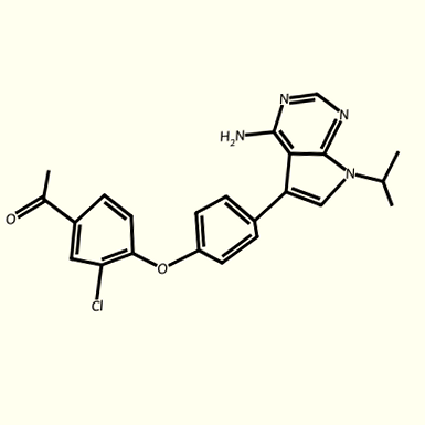 CC(=O)c1ccc(Oc2ccc(-c3cn(C(C)C)c4ncnc(N)c34)cc2)c(Cl)c1